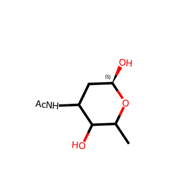 CC(=O)NC1C[C@@H](O)OC(C)C1O